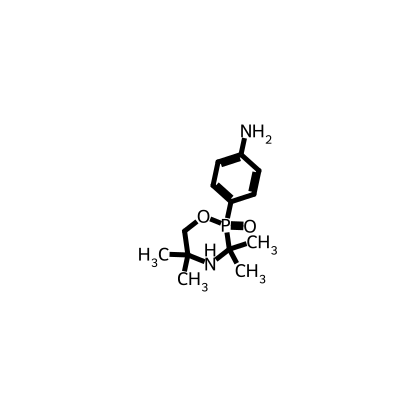 CC1(C)COP(=O)(c2ccc(N)cc2)C(C)(C)N1